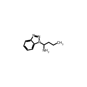 CCCC(N)n1nnc2ccccc21